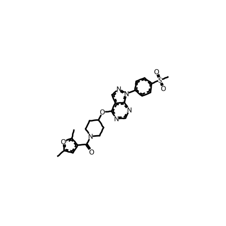 Cc1cc(C(=O)N2CCC(Oc3ncnc4c3cnn4-c3ccc(S(C)(=O)=O)cc3)CC2)c(C)o1